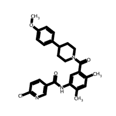 COc1ccc(C2CCN(C(=O)c3cc(NC(=O)c4ccc(Cl)nc4)c(C)cc3C)CC2)cc1